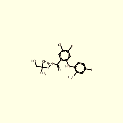 Cc1cc(I)ccc1Nc1cc(F)c(Cl)cc1C(=O)NOC(C)(C)CO